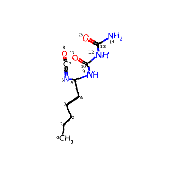 CCCCCC(N=C=O)NC(=O)NC(N)=O